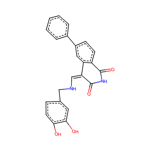 O=C1NC(=O)c2ccc(-c3ccccc3)cc2C1=CNCc1ccc(O)c(O)c1